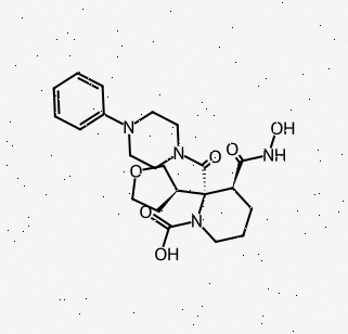 O=C(NO)[C@H]1CCCN(C(=O)O)[C@@]1(C(=O)N1CCN(c2ccccc2)CC1)[C@H]1CCOC1